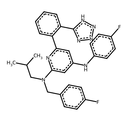 CC(C)CN(Cc1ccc(F)cc1)c1cc(Nc2ccc(F)cc2)cc(-c2ccccc2-c2nnn[nH]2)n1